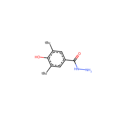 CC(C)(C)c1cc(C(=O)NN)cc(C(C)(C)C)c1O